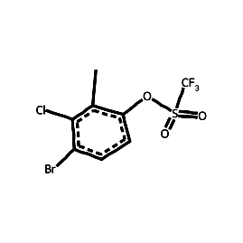 Cc1c(OS(=O)(=O)C(F)(F)F)ccc(Br)c1Cl